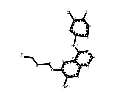 COc1cc2ncnc(Nc3ccc(F)c(Cl)c3)c2cc1OCCCC(C)C